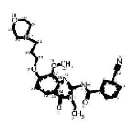 CCn1c(NC(=O)c2cccc(C#N)c2)nc2c(OC)c(OCCCN3CCOCC3)ccc2c1=O